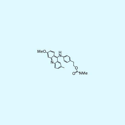 CNC(=O)OCCc1ccc(Nc2c3ccc(OC)cc3nc3ccc(C)cc23)cc1